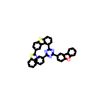 c1ccc(-c2nc(-c3ccc4oc5ccccc5c4c3)nc(-c3cccc4sc5ccc(-c6nc7ccccc7s6)cc5c34)n2)cc1